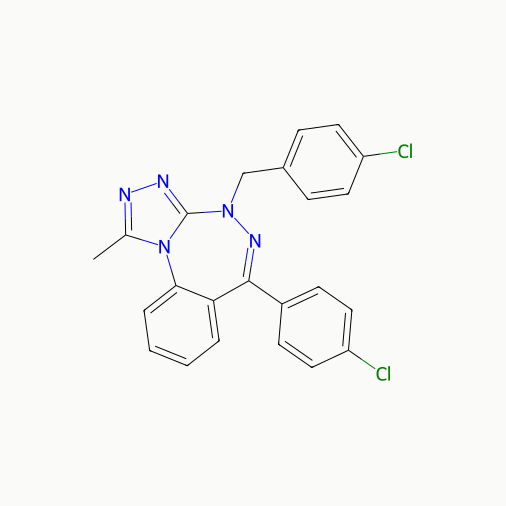 Cc1nnc2n1-c1ccccc1C(c1ccc(Cl)cc1)=NN2Cc1ccc(Cl)cc1